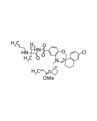 C=CCNC(C)(C)C(=O)NS(=O)(=O)c1ccc2c(c1)N(C[C@@H]1CC[C@H]1C(C=C)OC)C[C@@]1(CCCc3cc(Cl)ccc31)CO2